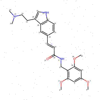 COc1cc(OC)c(CNC(=O)/C=C/c2ccc3[nH]cc(CCN(C)C)c3c2)c(OC)c1